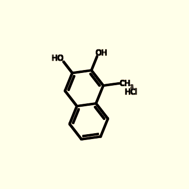 Cc1c(O)c(O)cc2ccccc12.Cl